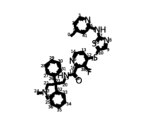 Cc1ccnc(Nc2ncc(Sc3ccnc(C(=O)NCC(CN(C)C)(c4ccccc4)c4ccccc4)c3F)s2)c1